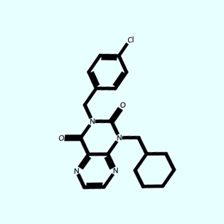 O=c1c2nccnc2n(CC2CCCCC2)c(=O)n1Cc1ccc(Cl)cc1